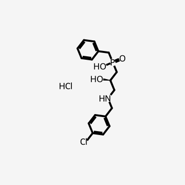 Cl.O=P(O)(Cc1ccccc1)C[C@H](O)CNCc1ccc(Cl)cc1